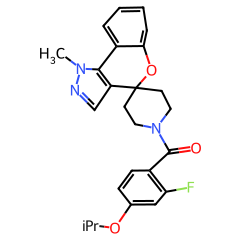 CC(C)Oc1ccc(C(=O)N2CCC3(CC2)Oc2ccccc2-c2c3cnn2C)c(F)c1